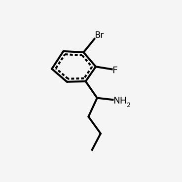 CCCC(N)c1cccc(Br)c1F